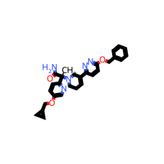 C[C@@](C(N)=O)(c1ccc(OCC2CC2)cn1)N1CCC=C(c2ccc(OCc3ccccc3)nn2)C1